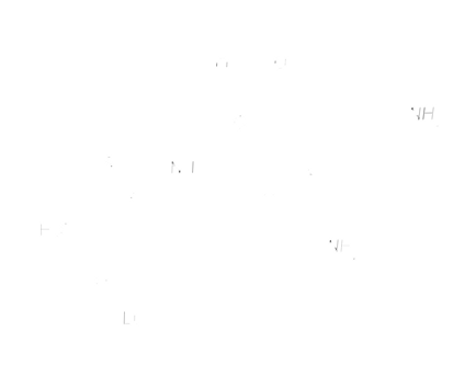 CCOC(C)CC(=S)NCC(=O)OC(=O)C(CCN)C(=O)CN